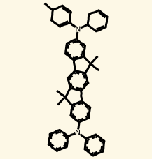 CC1C=CC(N(c2ccc3c(c2)C(C)(C)c2cc4c(cc2-3)C(C)(C)c2cc(N(c3ccccc3)c3ccccc3)ccc2-4)C2C=CC=CC2)=CC1